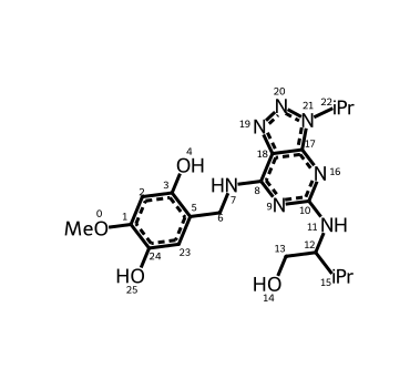 COc1cc(O)c(CNc2nc(NC(CO)C(C)C)nc3c2nnn3C(C)C)cc1O